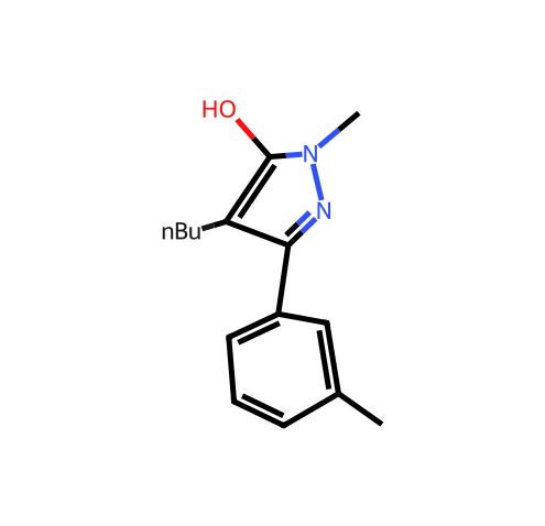 CCCCc1c(-c2cccc(C)c2)nn(C)c1O